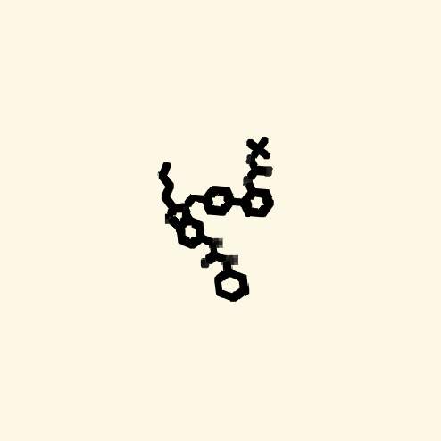 CCCCc1nc2ccc(NC(=O)NC3CCCCC3)cc2n1Cc1ccc(-c2ccccc2OC(=O)OC(C)(C)C)cc1